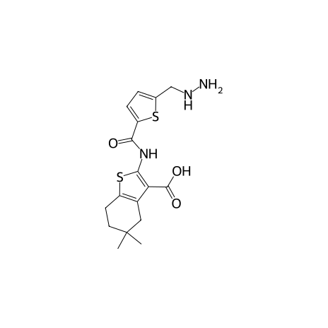 CC1(C)CCc2sc(NC(=O)c3ccc(CNN)s3)c(C(=O)O)c2C1